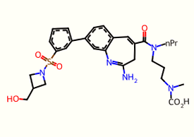 CCCN(CCCN(C)C(=O)O)C(=O)C1=Cc2ccc(-c3cccc(S(=O)(=O)N4CC(CO)C4)c3)cc2N=C(N)C1